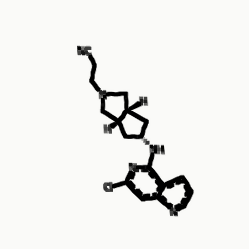 N#CCCN1C[C@H]2C[C@@H](Nc3nc(Cl)cc4ncccc34)C[C@H]2C1